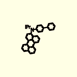 CC(C)N(c1ccc(-c2ccccc2)cc1)c1ccc2c3cccc4cccc(c5cccc1c52)c43